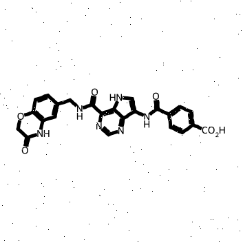 O=C1COc2ccc(CNC(=O)c3ncnc4c(NC(=O)c5ccc(C(=O)O)cc5)c[nH]c34)cc2N1